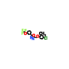 Cc1cc(Cl)ccc1OCc1nnc(-c2cccc(OC(F)(F)F)c2)o1